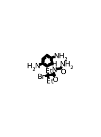 CCC(Br)(CC)C(=O)NC(N)=O.Nc1ccc(N)cc1